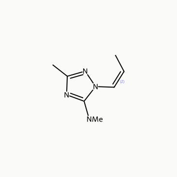 C/C=C\n1nc(C)nc1NC